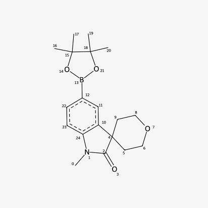 CN1C(=O)C2(CCOCC2)c2cc(B3OC(C)(C)C(C)(C)O3)ccc21